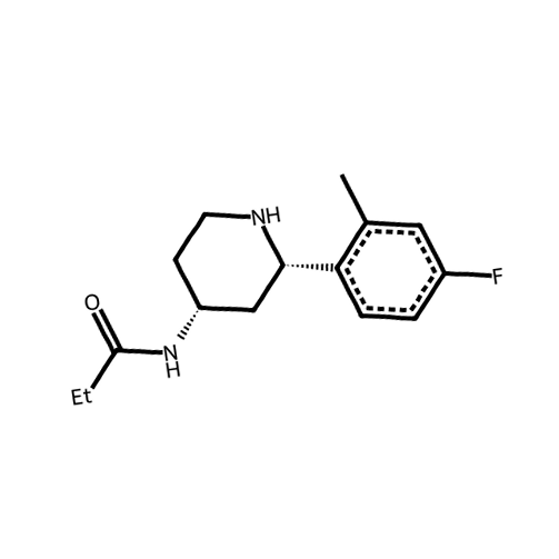 CCC(=O)N[C@@H]1CCN[C@H](c2ccc(F)cc2C)C1